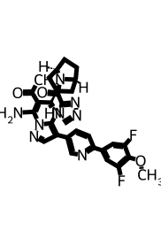 COc1c(F)cc(-c2ccc(-c3cnn4c(N)c(C(C)=O)c([C@H]5C[C@H]6CC[C@@H](C5)N6C(=O)c5nnc[nH]5)nc34)cn2)cc1F